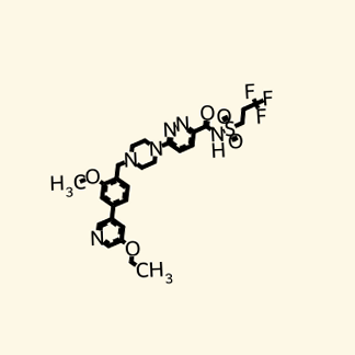 CCOc1cncc(-c2ccc(CN3CCN(c4ccc(C(=O)NS(=O)(=O)CCC(F)(F)F)nn4)CC3)c(OC)c2)c1